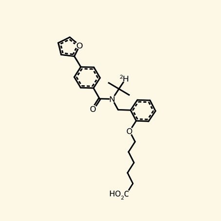 [2H]C(C)(C)N(Cc1ccccc1OCCCCCC(=O)O)C(=O)c1ccc(-c2ccco2)cc1